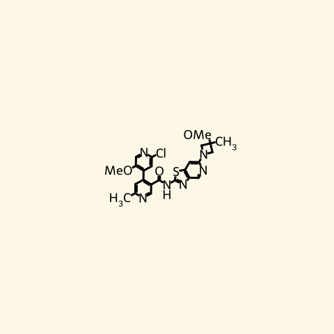 COc1cnc(Cl)cc1-c1cc(C)ncc1C(=O)Nc1nc2cnc(N3CC(C)(OC)C3)cc2s1